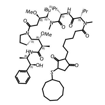 CC[C@H](C)[C@@H]([C@@H](CC(=O)N1CCC[C@H]1[C@H](OC)[C@@H](C)C(=O)N[C@H](C)[C@@H](O)c1ccccc1)OC)N(C)C(=O)[C@@H](NC(=O)[C@H](C(C)C)N(C)C(=O)CCCCCC1C(=O)CC(SC2CCCCCCCC2)C1=O)C(C)C